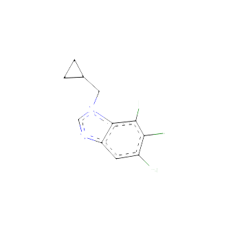 Fc1c(Br)cc2ncn(CC3CC3)c2c1F